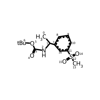 CC(NC(=O)OC(C)(C)C)c1cccc(S(C)(=O)=O)c1